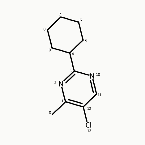 Cc1nc(C2CCCCC2)ncc1Cl